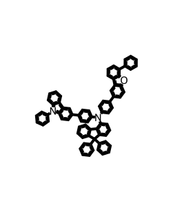 c1ccc(-c2cccc3c2oc2ccc(-c4ccc(N(c5ccc(-c6ccc7c(c6)c6ccccc6n7-c6ccccc6)cc5)c5cccc6c5-c5ccccc5C6(c5ccccc5)c5ccccc5)cc4)cc23)cc1